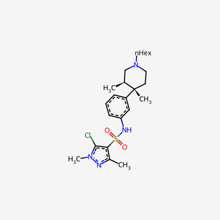 CCCCCCN1CC[C@](C)(c2cccc(NS(=O)(=O)c3c(C)nn(C)c3Cl)c2)[C@@H](C)C1